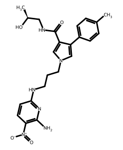 Cc1ccc(-c2cn(CCCNc3ccc([N+](=O)[O-])c(N)n3)cc2C(=O)NC[C@H](C)O)cc1